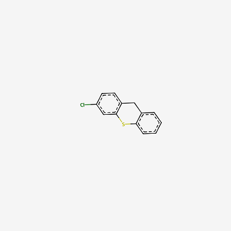 Clc1ccc2c(c1)Sc1ccccc1C2